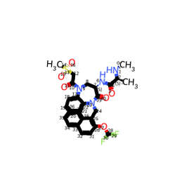 CN[C@@H](C)C(=O)N[C@H]1CN(C(=O)CS(C)(=O)=O)c2ccccc2N(Cc2c(OC(F)F)ccc3ccccc23)C1=O